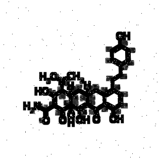 CN(C)[C@@H]1C(O)=C(C(N)=O)C(=O)[C@@]2(O)C(O)=C3C(=O)c4c(O)ccc(CCc5ccc(O)cc5)c4C[C@H]3C[C@@H]12